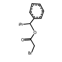 CC(C)C(OC(=O)CBr)c1ccccc1